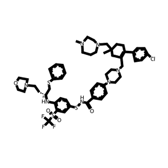 CN1CCCN(CC2(C)CCC(c3ccc(Cl)cc3)=C(CN3CCN(c4ccc(C(=O)NSc5ccc(N[C@H](CCN6CCOCC6)CSc6ccccc6)c(S(=O)(=O)C(F)(F)F)c5)cc4)CC3)C2)CC1